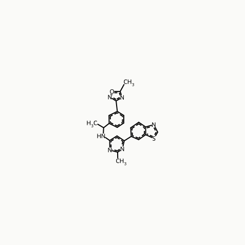 Cc1nc(NC(C)c2cccc(-c3noc(C)n3)c2)cc(-c2ccc3ncsc3c2)n1